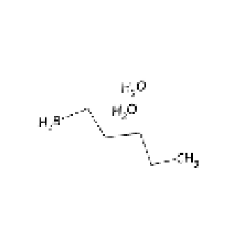 BCCCCC.O.O